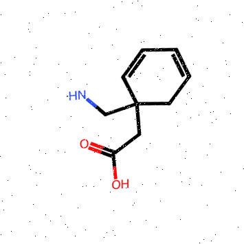 [NH]CC1(CC(=O)O)C=CC=CC1